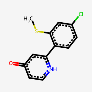 CSc1cc(Cl)ccc1-c1cc(=O)cc[nH]1